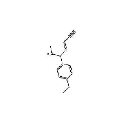 C#CC=NC([SiH2]C)c1ccc(OC)cc1